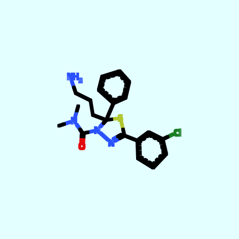 CN(C)C(=O)N1N=C(c2cccc(Cl)c2)SC1(CCCN)c1ccccc1